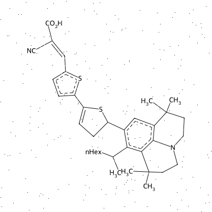 CCCCCCC(C)c1c(C2CC=C(c3ccc(/C=C(\C#N)C(=O)O)s3)S2)cc2c3c1C(C)(C)CCN3CCC2(C)C